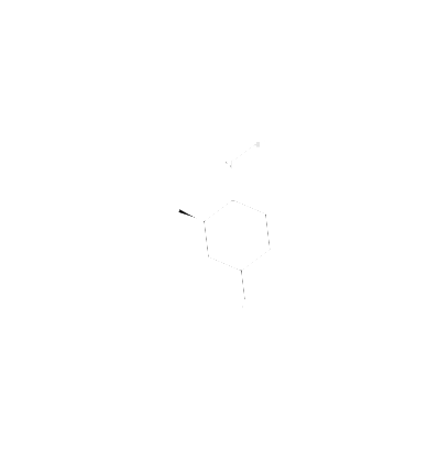 CC(C)[N][C@@H]1CCC(Cl)C[C@H]1O